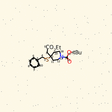 CCOC(=O)CC1(SCc2ccccc2)CCN(C(=O)OC(C)(C)C)CC1